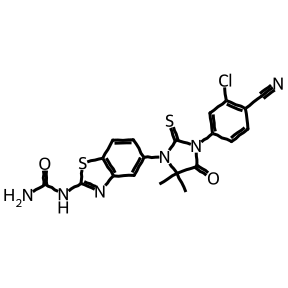 CC1(C)C(=O)N(c2ccc(C#N)c(Cl)c2)C(=S)N1c1ccc2sc(NC(N)=O)nc2c1